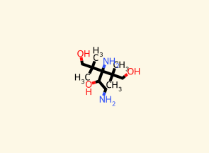 CC(C)(CO)C(N)(C(O)CN)C(C)(C)CO